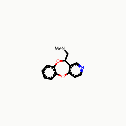 CNCC1Oc2ccccc2Oc2ccncc21